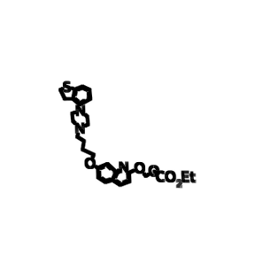 CCOC(=O)OCOc1ccc2ccc(OCCCCN3CCN(c4cccc5c4CCS5)CC3)cc2n1